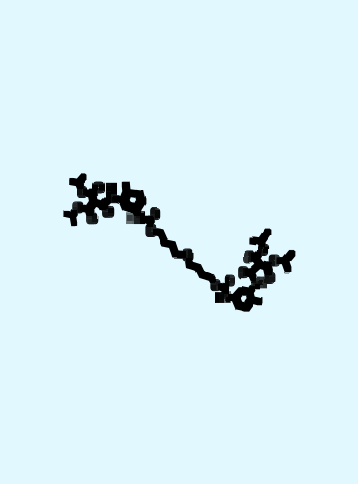 Cc1ccc(NC(=O)OCCCCOCCCCOC(=O)Nc2ccc(C)c(NC(=O)C(C(=O)OC(C)C)C(=O)OC(C)C)c2)cc1NC(=O)C(C(=O)OC(C)C)C(=O)OC(C)C